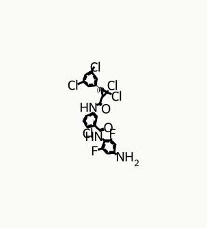 Nc1cc(F)c(NC(=O)c2cc(NC(=O)C3[C@H](c4cc(Cl)cc(Cl)c4)C3(Cl)Cl)ccc2Cl)c(F)c1